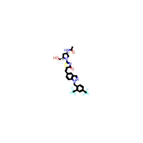 CC(=O)N[C@@H]1C[C@H](CO)N(C2=NC(=O)C(=Cc3ccc4c(cnn4Cc4ccc(C(F)(F)F)cc4C(F)(F)F)c3)S2)C1